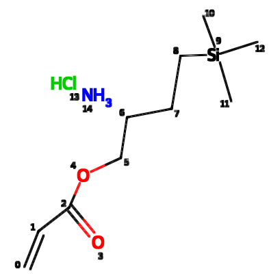 C=CC(=O)OCCCC[Si](C)(C)C.Cl.N